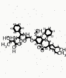 CCCCC1(CCCC)CN(c2ccccc2)c2cc(SC)c(OCC(=O)NC(C(=O)N[C@@H](C(=O)O)[C@H](C)O)c3ccccc3)cc2S(=O)(=O)C1